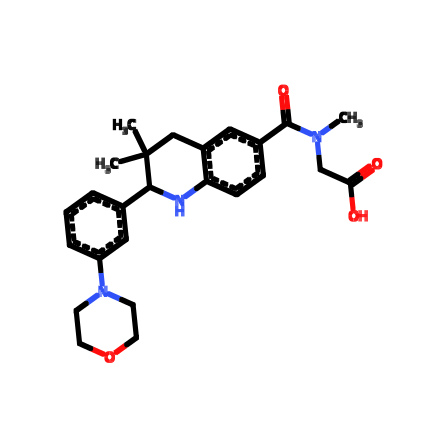 CN(CC(=O)O)C(=O)c1ccc2c(c1)CC(C)(C)C(c1cccc(N3CCOCC3)c1)N2